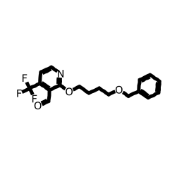 O=Cc1c(C(F)(F)F)ccnc1OCCCCOCc1ccccc1